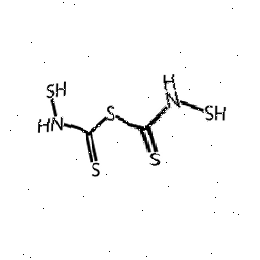 S=C(NS)SC(=S)NS